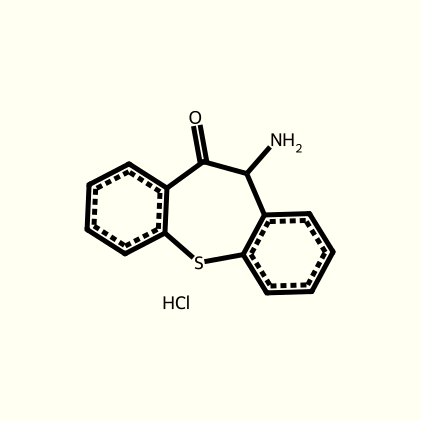 Cl.NC1C(=O)c2ccccc2Sc2ccccc21